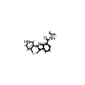 Cc1c2cccc(C(=O)NN(C)C)c2nn1C1CNCCC1C